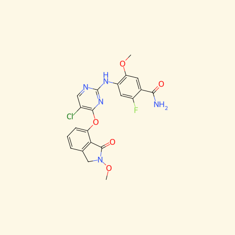 COc1cc(C(N)=O)c(F)cc1Nc1ncc(Cl)c(Oc2cccc3c2C(=O)N(OC)C3)n1